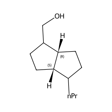 CCCC1CC[C@H]2C(CO)CC[C@@H]12